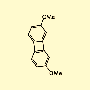 COc1ccc2c(c1)-c1cc(OC)ccc1-2